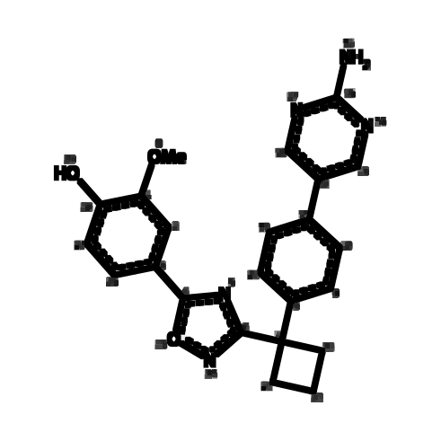 COc1cc(-c2nc(C3(c4ccc(-c5cnc(N)nc5)cc4)CCC3)no2)ccc1O